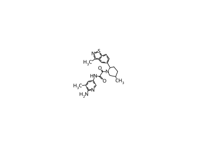 Cc1cc(NC(=O)C(=O)N2CC(C)CCC2c2ccc3snc(C)c3c2)cnc1N